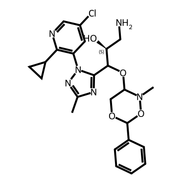 Cc1nc(C(OC2COC(c3ccccc3)ON2C)[C@@H](O)CN)n(-c2cc(Cl)cnc2C2CC2)n1